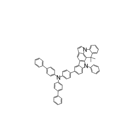 CC1(C)c2ccccc2-n2ccc3cc4c5cc(-c6ccc(N(c7ccc(-c8ccccc8)cc7)c7ccc(-c8ccccc8)cc7)cc6)ccc5n(-c5ccccc5)c4c1c32